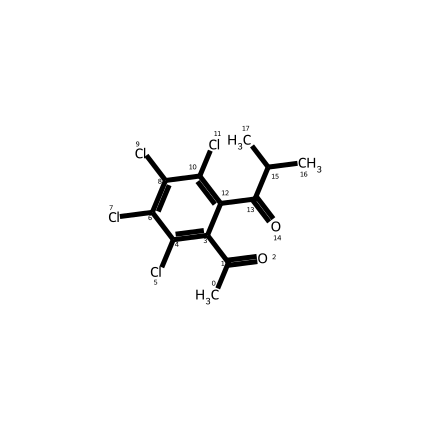 CC(=O)c1c(Cl)c(Cl)c(Cl)c(Cl)c1C(=O)C(C)C